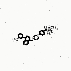 CS(=O)(=O)NC(=O)c1ccc(N2CCN(Cc3ccc(-c4cccc(O)c4)c4ccccc34)CC2)cc1